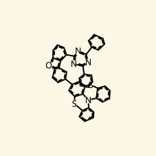 c1ccc(-c2nc(-c3ccccc3)nc(-c3cccc4oc5ccc(-c6cc7c8c(c6)Sc6ccccc6N8c6ccccc6S7)cc5c34)n2)cc1